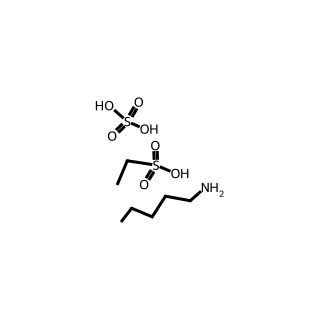 CCCCCN.CCS(=O)(=O)O.O=S(=O)(O)O